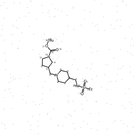 CCS(=O)(=O)NCC1CCN(CC2CCN(C(=O)OC(C)(C)C)C2)CC1